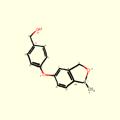 CB1OCc2cc(Oc3ccc(CO)cc3)ccc21